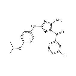 CC(C)Oc1ccc(Nc2nc(N)n(C(=O)c3cccc(Cl)c3)n2)cc1